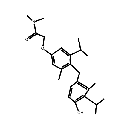 Cc1cc(OCC(=O)N(C)C)cc(C(C)C)c1Cc1ccc(O)c(C(C)C)c1F